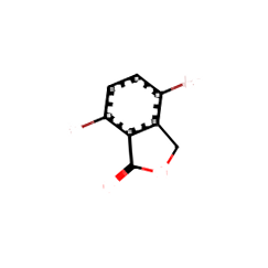 O=C1OCc2c(Br)ccc(Br)c21